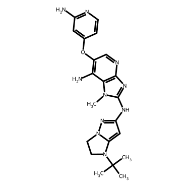 Cn1c(Nc2cc3n(n2)CCN3C(C)(C)C)nc2ncc(Oc3ccnc(N)c3)c(N)c21